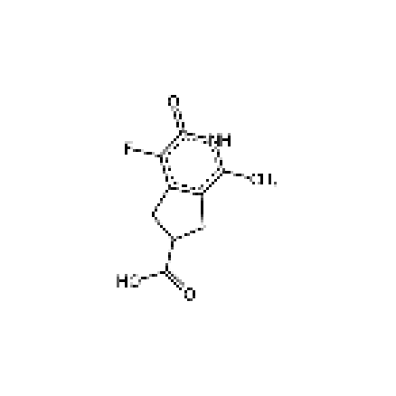 Cc1[nH]c(=O)c(F)c2c1CC(C(=O)O)C2